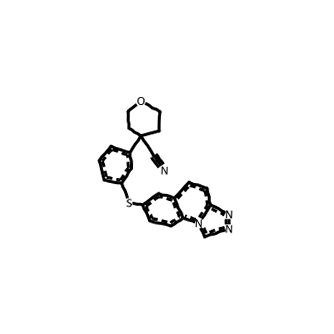 N#CC1(c2cccc(Sc3ccc4c(ccc5nncn54)c3)c2)CCOCC1